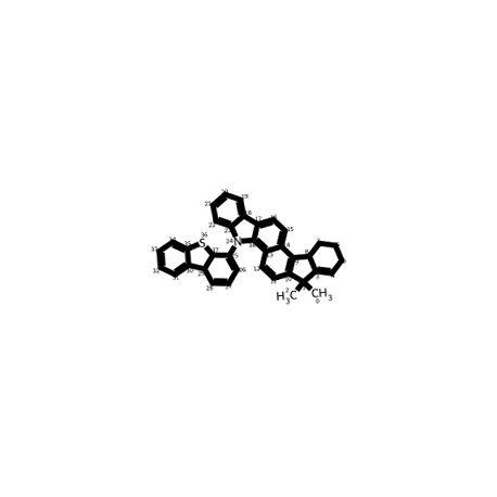 CC1(C)C2=CCCCC2c2c1ccc1c2ccc2c3ccccc3n(C3=CC=CC4c5ccccc5SC34)c12